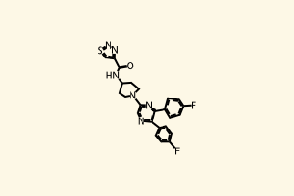 O=C(NC1CCN(c2cnc(-c3ccc(F)cc3)c(-c3ccc(F)cc3)n2)CC1)c1csnn1